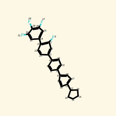 Fc1cc(-c2ccc(-c3ccc(C4CCCC4)cc3)cc2)ccc1-c1cc(F)c(F)c(F)c1